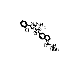 CCCCNC(=O)N1CCc2cc(S(=O)(=O)N3CC(c4ccccc4Cl)N=C3N)ccc21